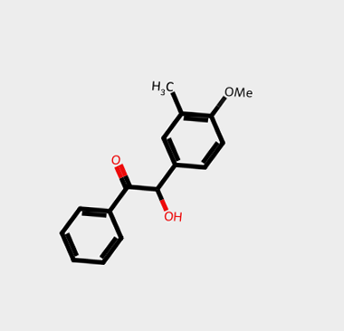 COc1ccc(C(O)C(=O)c2ccccc2)cc1C